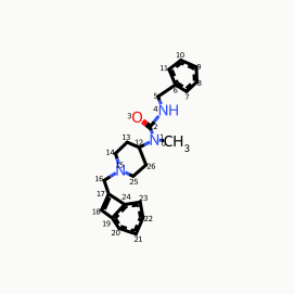 CN(C(=O)NCc1ccccc1)C1CCN(CC2=Cc3ccccc32)CC1